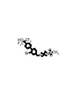 CS(=O)(=O)N1CC2(CN(Cc3ccc(-c4ccc(C(O)(C(F)(F)F)C(F)(F)F)cc4)c(Br)c3)C2)C1